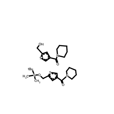 CC(C)(C)[Si](C)(C)OCc1cc(C(=O)N2CCCCC2)cs1.O=C(c1csc(CO)c1)N1CCCCC1